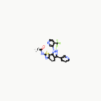 CC(=O)Nc1nc2c(s1)-c1c(c(-c3cccnc3)nn1-c1cnccc1C(F)(F)F)CC2